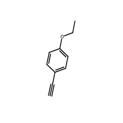 [C]#Cc1ccc(OCC)cc1